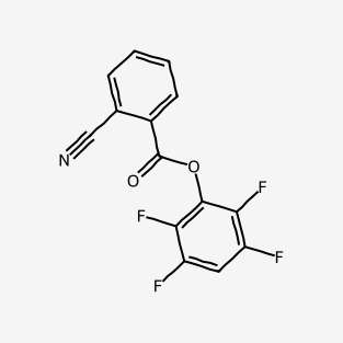 N#Cc1ccccc1C(=O)Oc1c(F)c(F)cc(F)c1F